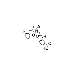 O=C(CN1C(=O)/C(=C\c2ccccc2F)SC1=S)Nc1cccc(C(=O)O)c1